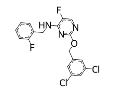 Fc1ccccc1CNc1nc(OCc2cc(Cl)cc(Cl)c2)ncc1F